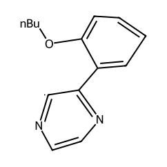 CCCCOc1ccccc1-c1[c]nccn1